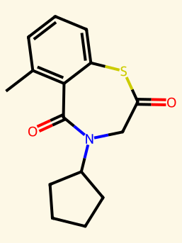 Cc1cccc2c1C(=O)N(C1CCCC1)CC(=O)S2